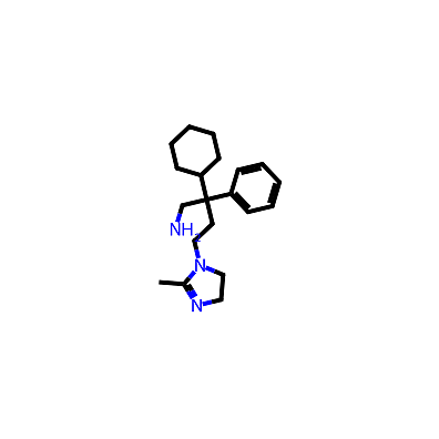 CC1=NCCN1CCC(CN)(c1ccccc1)C1CCCCC1